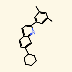 Cc1cc(C)cc(-c2ccc3ccc(C4CCCCC4)cc3n2)c1